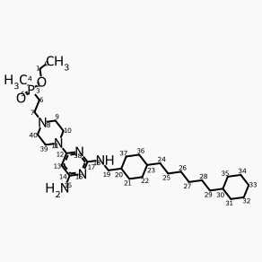 CCOP(C)(=O)CCN1CCN(c2cc(N)nc(NCC3CCC(CCCCCCC4CCCCC4)CC3)n2)CC1